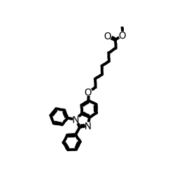 COC(=O)CCCCCCCOc1ccc2nc(-c3ccccc3)n(-c3ccccc3)c2c1